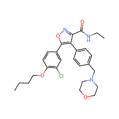 CCCCOc1ccc(-c2onc(C(=O)NCC)c2-c2ccc(CN3CCOCC3)cc2)cc1Cl